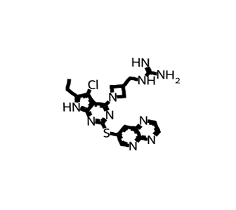 CCc1[nH]c2nc(Sc3cnc4nccnc4c3)nc(N3CC(CNC(=N)N)C3)c2c1Cl